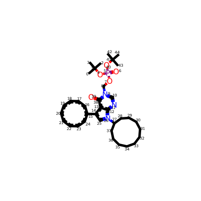 CC(C)(C)OP(=O)(OCn1cnc2c(c(-c3ccccccccc3)cn2C2CCCCCCCCCC2)c1=O)OC(C)(C)C